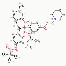 CCC(C)C(=O)OC1(c2ccc(OCCN3CCCCC3)cc2)Oc2cc(C)ccc2C=C1c1ccc(OC(=O)C(C)(C)C)cc1